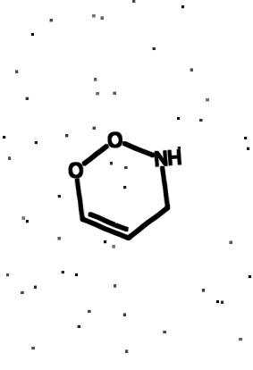 C1=COONC1